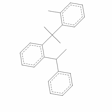 Cc1ccccc1C(C)(C)c1ccccc1C(C)c1ccccc1